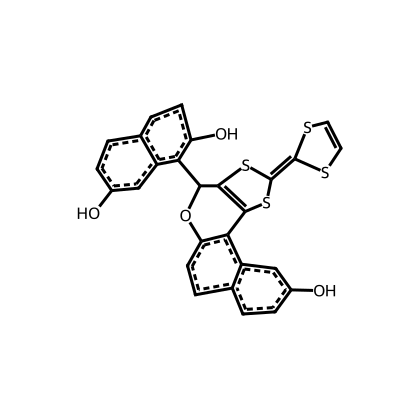 Oc1ccc2ccc3c(c2c1)C1=C(SC(=C2SC=CS2)S1)C(c1c(O)ccc2ccc(O)cc12)O3